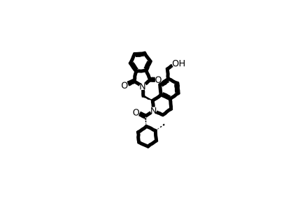 C[C@@H]1CCCC[C@@H]1C(=O)N1CCc2ccc(CO)cc2[C@@H]1CN1C(=O)c2ccccc2C1=O